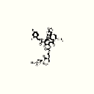 CC1=NO[C@@]2(CC[C@H](C)N3C[C@H]2n2cc(C(=O)NCc4ccc(F)cc4F)c(=O)c(OC(=O)OCCN(CC(=O)O)C(=O)OCOP(=O)(O)O)c2C3=O)C1